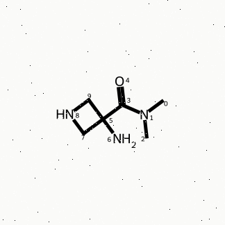 CN(C)C(=O)C1(N)CNC1